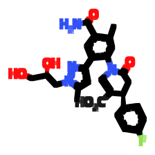 Cc1cc(N2C=C(C(=O)O)[C@H](c3ccc(F)cc3)CC2=O)c(-c2cc(C)n(C[C@@H](O)CO)n2)cc1C(N)=O